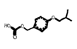 CC(C)COc1ccc(COC(=O)O)cc1